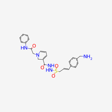 NCc1ccc(C=CCS(=O)(=O)NNC(=O)C2=CC=CN(CC(=O)Nc3ccccc3)C2)cc1